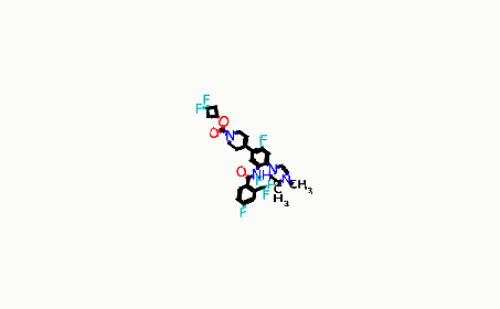 C[C@H]1CN(c2cc(F)c(C3=CCN(C(=O)OC4CC(F)(F)C4)CC3)cc2NC(=O)c2ccc(F)cc2C(F)(F)F)CCN1C